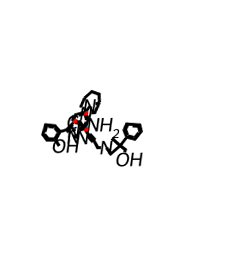 Nc1nnc(-c2ccccc2O)cc1N1CC2CCC(C1)N2c1ccnc(C#CCN2CC(CO)(c3ccccc3)C2)c1